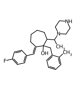 Cc1ccccc1CC1(O)C(=Cc2ccc(F)cc2)CCCCC1C(C)N1CCNCC1